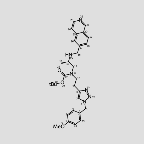 COc1ccc(Cn2cc(CCN(C[C@@H](C)NCc3ccc4cnccc4c3)C(=O)OC(C)(C)C)nn2)cc1